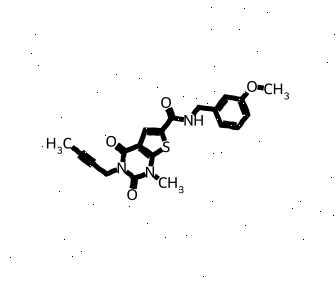 CC#CCn1c(=O)c2cc(C(=O)NCc3cccc(OC)c3)sc2n(C)c1=O